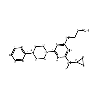 CN(c1nc(NCCO)cc(N2CCN(c3ccccc3)CC2)n1)C1CC1